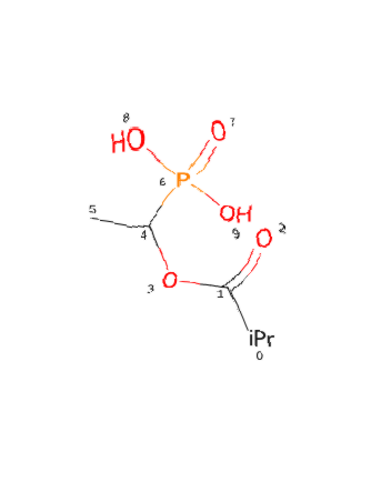 CC(C)C(=O)OC(C)P(=O)(O)O